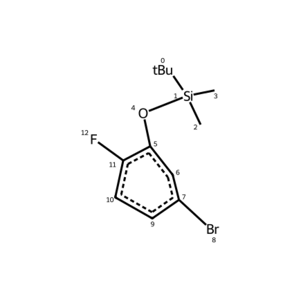 CC(C)(C)[Si](C)(C)Oc1cc(Br)ccc1F